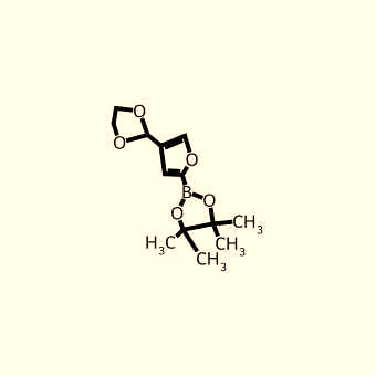 CC1(C)OB(c2cc(C3OCCO3)co2)OC1(C)C